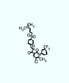 Cc1c(Cl)cc(C(=O)NCc2ccc(S(=O)(=O)CC=CN(C)C)cc2)c(=O)n1-c1cccc(C(F)(F)F)c1